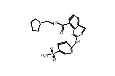 NS(=O)(=O)c1ccc(Nc2ncc3cccc(C(=O)NCCN4CCCC4)c3n2)cc1